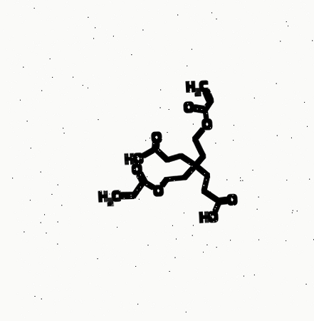 C=CC(=O)OCCC(CCOC(=O)C=C)(CCC(=O)O)CCC(=O)O